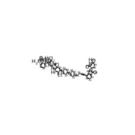 CCc1cc(Nc2ncc(Cl)c(Nc3ccccc3P(C)(C)=O)n2)c(Cl)cc1N1CCC(N2CCN(CCC#Cc3cccc4c3CN(C3CCC(=O)NC3=O)C4=O)CC2)CC1